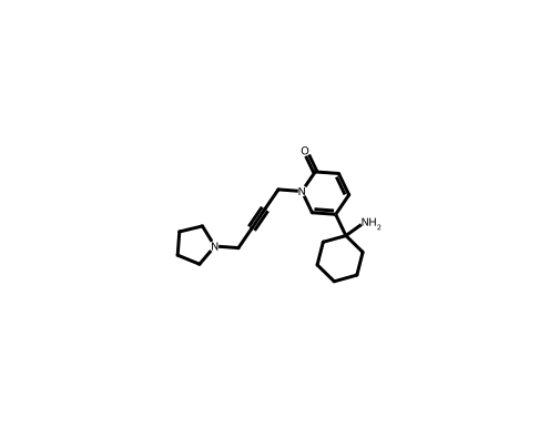 NC1(c2ccc(=O)n(CC#CCN3CCCC3)c2)CCCCC1